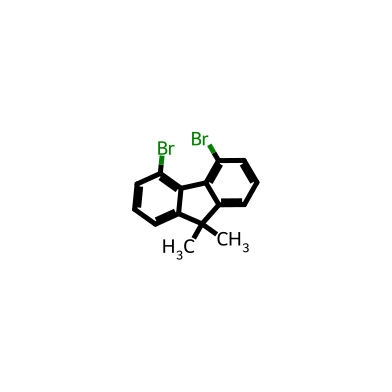 CC1(C)c2cccc(Br)c2-c2c(Br)cccc21